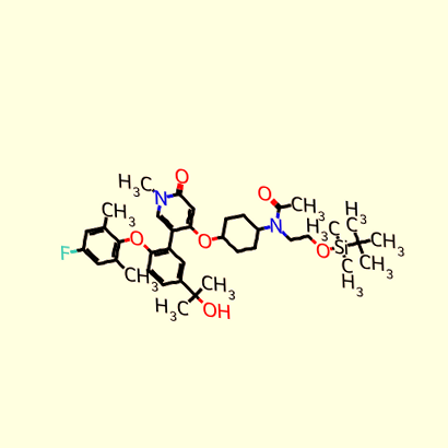 CC(=O)N(CCO[Si](C)(C)C(C)(C)C)C1CCC(Oc2cc(=O)n(C)cc2-c2cc(C(C)(C)O)ccc2Oc2c(C)cc(F)cc2C)CC1